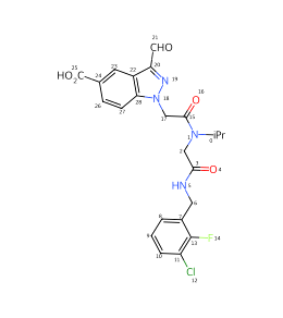 CC(C)N(CC(=O)NCc1cccc(Cl)c1F)C(=O)Cn1nc(C=O)c2cc(C(=O)O)ccc21